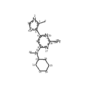 Cc1ncsc1-c1cc(N(C)C2CCCCC2)nc(C(C)C)n1